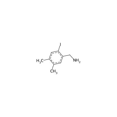 Cc1cc(I)c(CN)cc1C